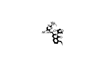 C[C@H](Nc1nc(N)ncc1C#N)c1cc2cccc(CI)c2c(=O)n1-c1ccon1